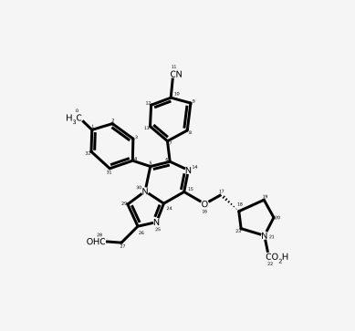 Cc1ccc(-c2c(-c3ccc(C#N)cc3)nc(OC[C@@H]3CCN(C(=O)O)C3)c3nc(CC=O)cn23)cc1